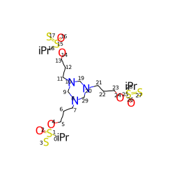 CC(C)S(=O)(=S)OCCCN1CN(CCCOS(=O)(=S)C(C)C)CN(CCCOS(=O)(=S)C(C)C)C1